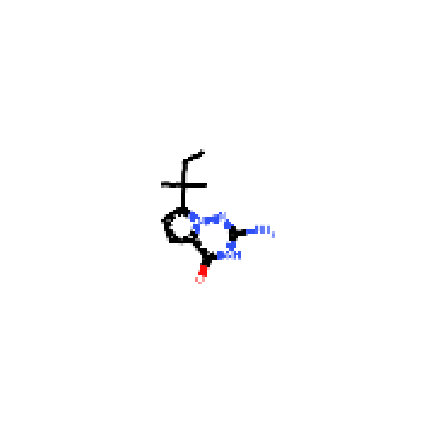 CCC(C)(C)c1ccc2c(=O)[nH]c(N)nn12